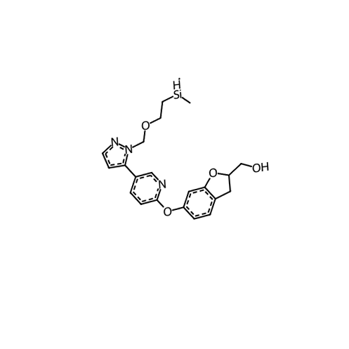 C[SiH](C)CCOCn1nccc1-c1ccc(Oc2ccc3c(c2)OC(CO)C3)nc1